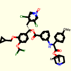 COc1ccc(C(Nc2cccc(C(=O)O[C@@H](Cc3c(Cl)c[n+]([O-])cc3Cl)c3ccc(OC(F)F)c(OCC4CC4)c3)c2)C(=O)O[C@H]2CN3CCC2CC3)cc1